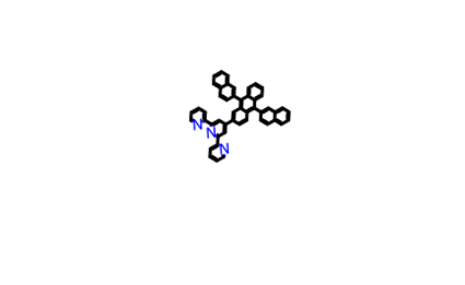 c1ccc(-c2cc(-c3ccc4c(-c5ccc6ccccc6c5)c5ccccc5c(-c5ccc6ccccc6c5)c4c3)cc(-c3ccccn3)n2)nc1